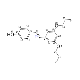 CCCOc1cc(/C=C/c2ccc(O)cc2)cc(OCCC)c1